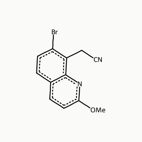 COc1ccc2ccc(Br)c(CC#N)c2n1